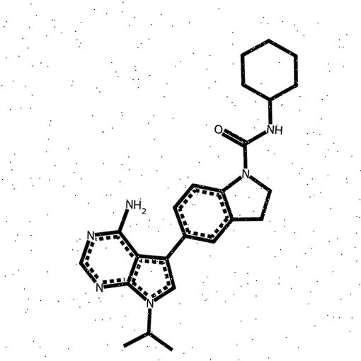 CC(C)n1cc(-c2ccc3c(c2)CCN3C(=O)NC2CCCCC2)c2c(N)ncnc21